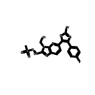 CC(C)Cn1c(NOS(C)(=O)=O)nc2ccc(-c3oc(C(C)C)nc3-c3ccc(F)cc3)nc21